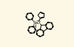 C1=CC[C]([Zr]([CH]2c3ccccc3-c3ccccc32)[SiH](c2ccccc2)c2ccccc2)=C1